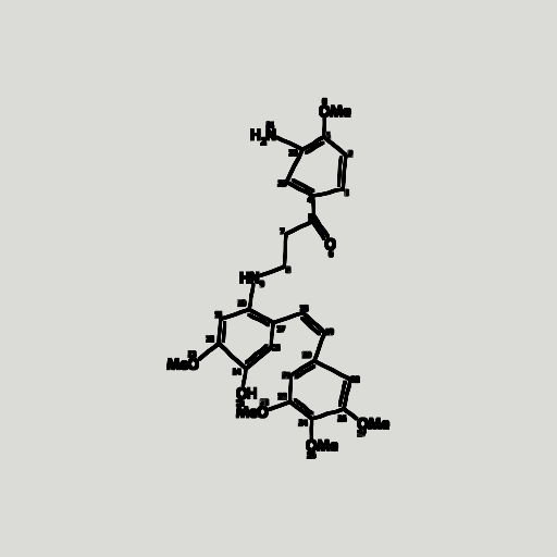 COc1ccc(C(=O)CCNc2cc(OC)c(O)cc2/C=C\c2cc(OC)c(OC)c(OC)c2)cc1N